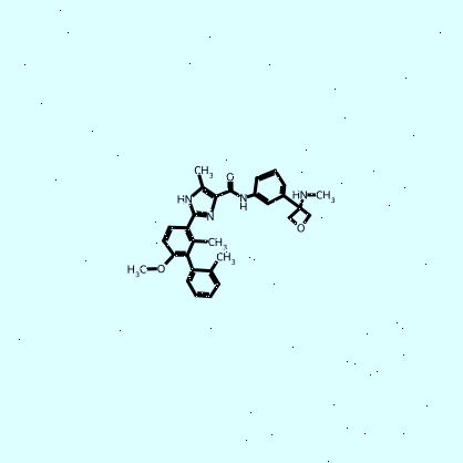 CNC1(c2cccc(NC(=O)c3nc(-c4ccc(OC)c(-c5ccccc5C)c4C)[nH]c3C)c2)COC1